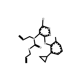 C=CCOC(=O)N(CC=C)c1cc(Cl)nnc1Oc1c(C)cccc1C1CC1